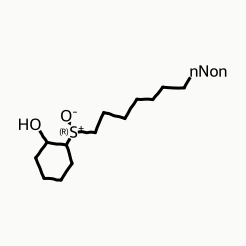 CCCCCCCCCCCCCCCC[S@+]([O-])C1CCCCC1O